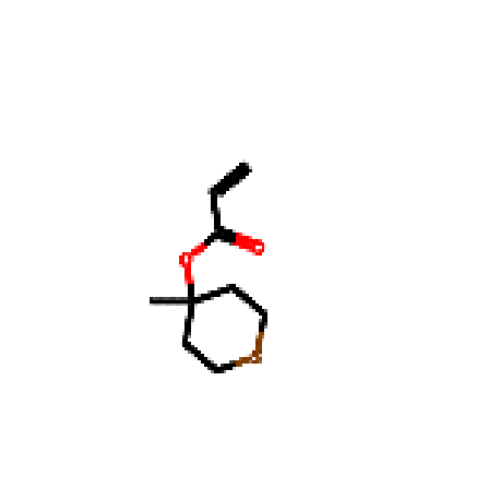 C=CC(=O)OC1(C)CCSCC1